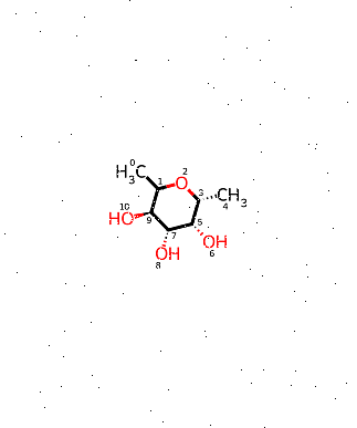 C[C]1O[C@H](C)[C@H](O)[C@H](O)[C@H]1O